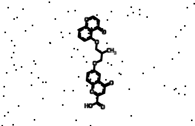 CC(COc1ccc2oc(C(=O)O)cc(=O)c2c1)COc1cccc2occc(=O)c12